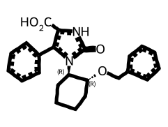 O=C(O)c1[nH]c(=O)n([C@@H]2CCCC[C@H]2OCc2ccccc2)c1-c1ccccc1